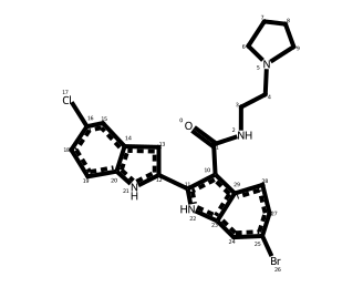 O=C(NCCN1CCCC1)c1c(-c2cc3cc(Cl)ccc3[nH]2)[nH]c2cc(Br)ccc12